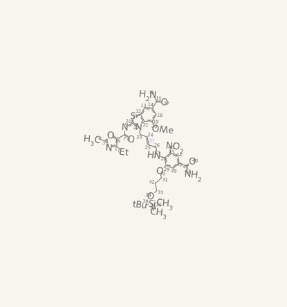 CCc1nc(C)oc1C(=O)N=c1sc2cc(C(N)=O)cc(OC)c2n1C/C=C/CNc1c(OCCCO[Si](C)(C)C(C)(C)C)cc(C(N)=O)cc1[N+](=O)[O-]